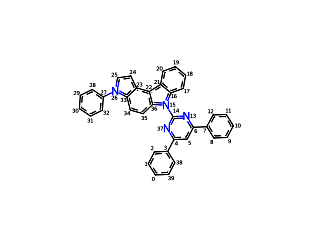 c1ccc(-c2cc(-c3ccccc3)nc(-n3c4ccccc4c4c5ccn(-c6ccccc6)c5ccc43)n2)cc1